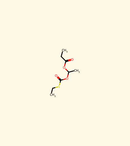 CCSC(=O)OC(C)OC(=O)CC